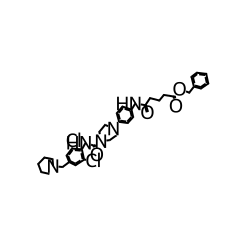 O=C(CCCC(=O)OCc1ccccc1)Nc1ccc(N2CCN(C(=O)Nc3c(Cl)cc(CN4CCCCC4)cc3Cl)CC2)cc1